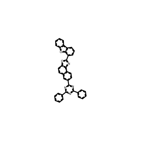 c1ccc(-c2nc(-c3ccccc3)nc(-c3ccc4c(ccc5oc(-c6cccc7c6oc6ccccc67)nc54)c3)n2)cc1